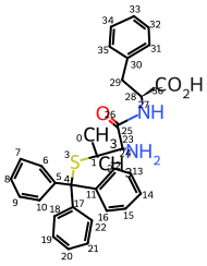 CC(C)(SC(c1ccccc1)(c1ccccc1)c1ccccc1)[C@H](N)C(=O)N[C@@H](Cc1ccccc1)C(=O)O